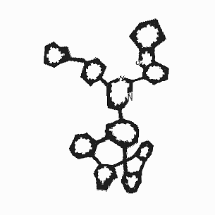 c1ccc(-c2ccc(-c3cc(-c4ccc5c(c4)-c4ccccc4-c4ccccc4C54c5ccccc5-c5ccccc54)nc(-c4cccc5c4oc4ccccc45)n3)cc2)cc1